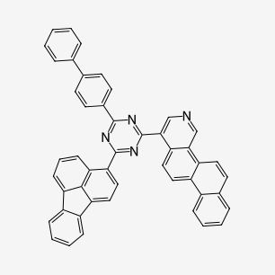 c1ccc(-c2ccc(-c3nc(-c4ccc5c6c(cccc46)-c4ccccc4-5)nc(-c4cncc5c4ccc4c6ccccc6ccc54)n3)cc2)cc1